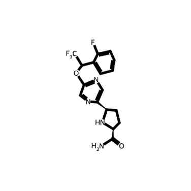 NC(=O)[C@@H]1CC[C@H](c2cnc(OC(c3ccccc3F)C(F)(F)F)cn2)N1